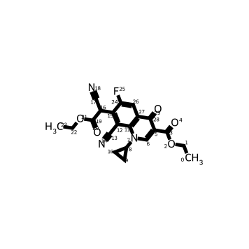 CCOC(=O)c1cn(C2CC2)c2c(C#N)c(C(C#N)C(=O)OCC)c(F)cc2c1=O